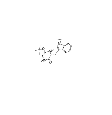 CCn1cc(CC(NC(=O)OC(C)(C)C)C(=O)O)c2ccccc21